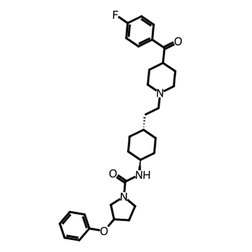 O=C(c1ccc(F)cc1)C1CCN(CC[C@H]2CC[C@H](NC(=O)N3CCC(Oc4ccccc4)C3)CC2)CC1